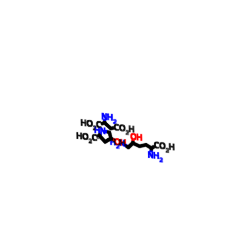 NC(CC(=O)O)C(=O)O.NCC(O)CCC(N)C(=O)O.O=C(O)[C@@H]1CC(O)CN1